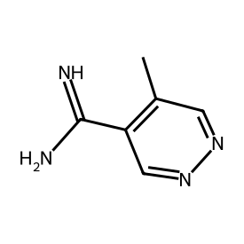 Cc1cnncc1C(=N)N